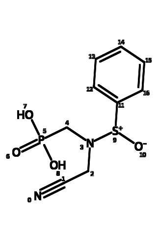 N#CCN(CP(=O)(O)O)[S+]([O-])c1ccccc1